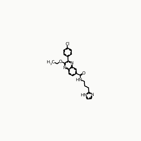 CCOc1nc2ccc(C(=O)NCCCc3ncc[nH]3)cc2nc1-c1ccc(Cl)cc1